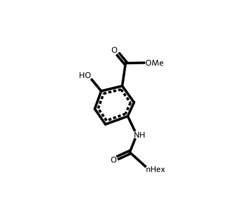 CCCCCCC(=O)Nc1ccc(O)c(C(=O)OC)c1